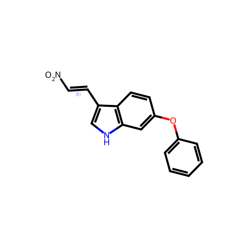 O=[N+]([O-])/C=C/c1c[nH]c2cc(Oc3ccccc3)ccc12